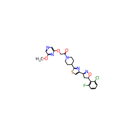 COc1cncc(OCC(=O)N2CCC(c3nc(C4=NOC(c5c(F)cccc5Cl)C4)cs3)CC2)n1